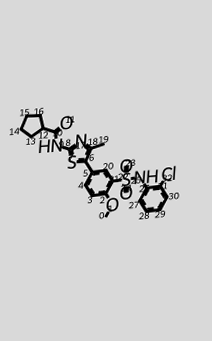 COc1ccc(-c2sc(NC(=O)C3CCCC3)nc2C)cc1S(=O)(=O)Nc1ccccc1Cl